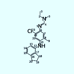 CCN(C)C=Nc1cc(C)c(Nc2cccc3c2CCC3)cc1Cl